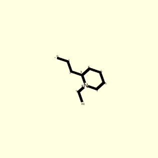 [CH2]CCC1CCCCN1CC